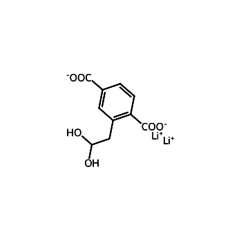 O=C([O-])c1ccc(C(=O)[O-])c(CC(O)O)c1.[Li+].[Li+]